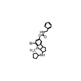 CN1c2c(Br)cc(OC(=O)NCc3ccccc3)cc2C2CCC(NC3CCCC3)C21